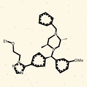 CCOCCn1ncnc1-c1ccc([C@H](c2cccc(OC)c2)N2C[C@@H](C)N(Cc3ccccc3)C[C@@H]2C)cc1